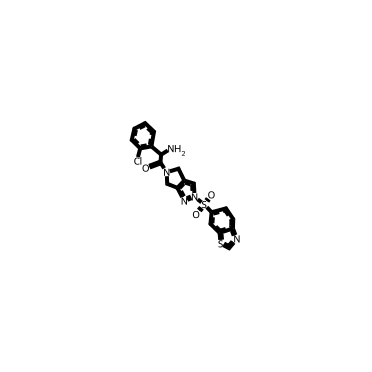 NC(C(=O)N1Cc2cn(S(=O)(=O)c3ccc4ncsc4c3)nc2C1)c1ccccc1Cl